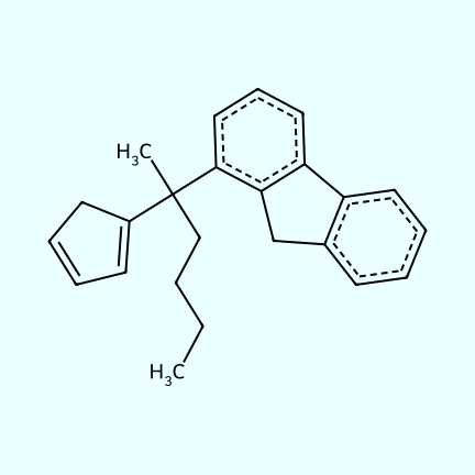 CCCCC(C)(C1=CC=CC1)c1cccc2c1Cc1ccccc1-2